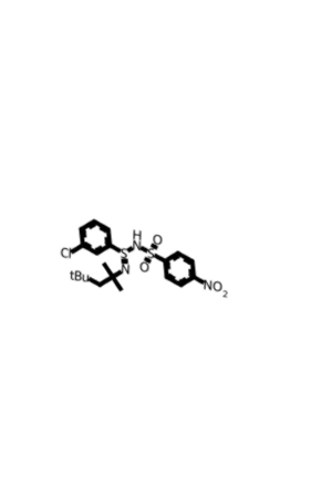 CC(C)(C)CC(C)(C)N=S(NS(=O)(=O)c1ccc([N+](=O)[O-])cc1)c1cccc(Cl)c1